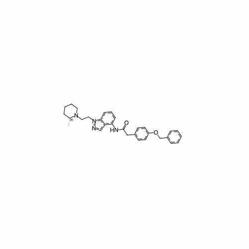 C[C@@H]1CCCCN1CCn1ncc2c(NC(=O)Cc3ccc(OCc4ccccc4)cc3)cccc21